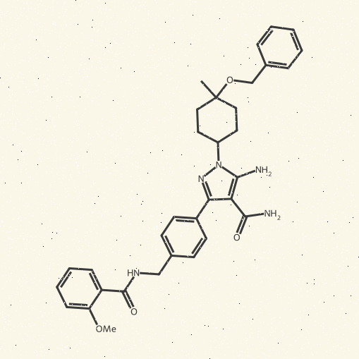 COc1ccccc1C(=O)NCc1ccc(-c2nn(C3CCC(C)(OCc4ccccc4)CC3)c(N)c2C(N)=O)cc1